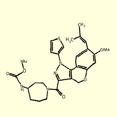 COc1cc2c(cc1C=C(C)C)-c1c(c(C(=O)N3CCCC(NC(=O)OC(C)(C)C)CC3)nn1-c1ccsc1)CO2